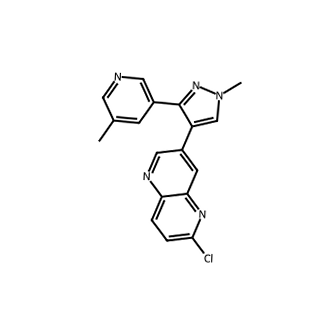 Cc1cncc(-c2nn(C)cc2-c2cnc3ccc(Cl)nc3c2)c1